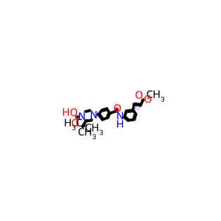 COC(=O)/C=C/c1cccc(NC(=O)c2ccc(N3CCN(C(=O)O)C(C(C)(C)C)C3)cc2)c1